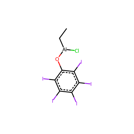 C[CH2][Al]([Cl])[O]c1c(I)c(I)c(I)c(I)c1I